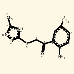 Cc1ccc(N)c(C(=O)CSc2nnc(C(F)(F)F)[nH]2)c1